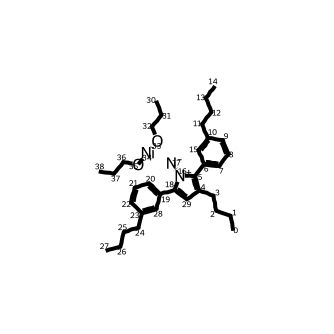 CCCCC1=C(c2cccc(CCCC)c2)[N+](=[N-])C(c2cccc(CCCC)c2)=C1.CCC[O][Ni][O]CCC